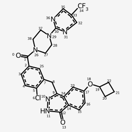 O=C(c1ccc(Cl)c(Cc2n[nH]c(=O)c3ccc(OC4CCC4)cc23)c1)N1CCN(c2ncc(C(F)(F)F)cn2)CC1